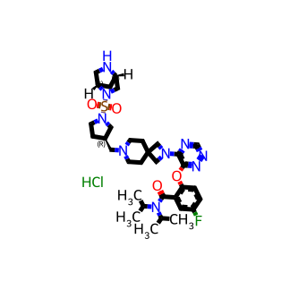 CC(C)N(C(=O)c1cc(F)ccc1Oc1nncnc1N1CC2(CCN(C[C@H]3CCN(S(=O)(=O)N4C[C@@H]5C[C@H]4CN5)C3)CC2)C1)C(C)C.Cl